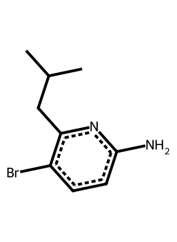 CC(C)Cc1nc(N)ccc1Br